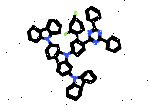 Fc1ccc(-c2cc(-n3c4cc(-n5c6ccccc6c6ccccc65)ccc4c4ccc(-n5c6ccccc6c6ccccc65)cc43)ccc2-c2nc(-c3ccccc3)nc(-c3ccccc3)n2)c(F)c1